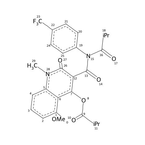 COc1cccc2c1c(OC(=O)C(C)C)c(C(=O)N(C(=O)C(C)C)c1ccc(C(F)(F)F)cc1)c(=O)n2C